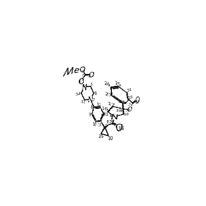 COC(=O)ON1CCN(c2ccc(C3(C(=O)N4CCC5(C4)OC(=O)c4ccccc45)CC3)cc2)CC1